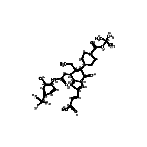 CCc1c(N2CCN(C(=O)OC(C)(C)C)CC2)c(=O)n2nc(/C=C/C(=O)O)nc2n1CC(=O)Nc1ccc(C(F)(F)F)cc1Cl